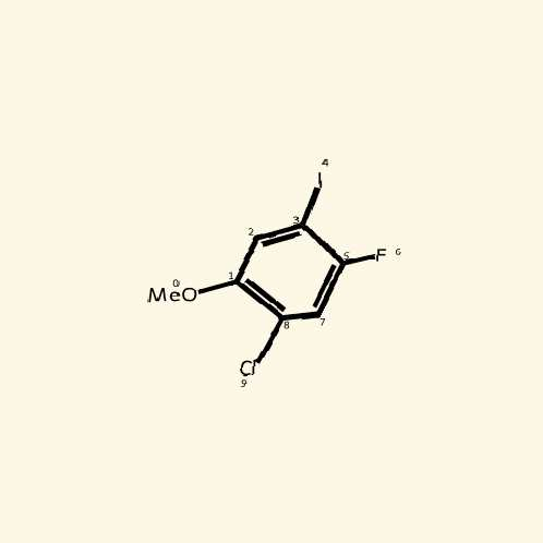 COc1cc(I)c(F)cc1Cl